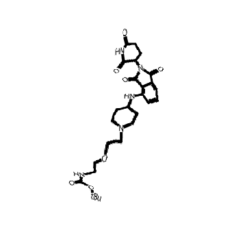 CC(C)(C)OC(=O)NCCOCCN1CCC(Nc2cccc3c2C(=O)N(C2CCC(=O)NC2=O)C3=O)CC1